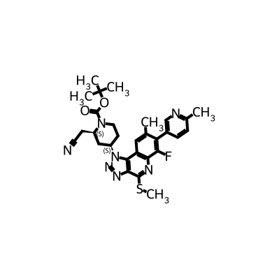 CSc1nc2c(F)c(-c3ccc(C)nc3)c(C)cc2c2c1nnn2[C@H]1CCN(C(=O)OC(C)(C)C)[C@H](CC#N)C1